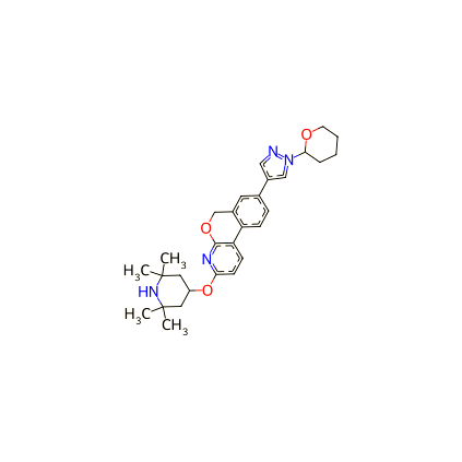 CC1(C)CC(Oc2ccc3c(n2)OCc2cc(-c4cnn(C5CCCCO5)c4)ccc2-3)CC(C)(C)N1